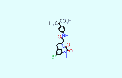 CC(C(=O)O)c1ccc(NC(=O)CC2CCc3cc(Br)cc4[nH]c(=O)c(=O)n2c34)cc1